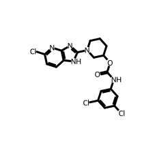 O=C(Nc1cc(Cl)cc(Cl)c1)OC1CCCN(c2nc3nc(Cl)ccc3[nH]2)C1